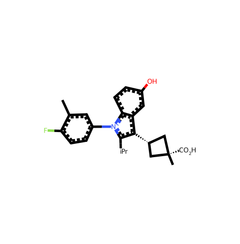 Cc1cc(-n2c(C(C)C)c([C@H]3C[C@@](C)(C(=O)O)C3)c3cc(O)ccc32)ccc1F